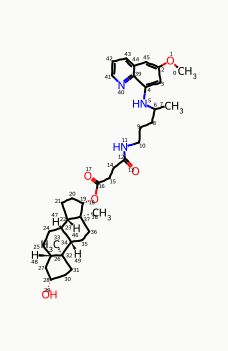 COc1cc(NC(C)CCCNC(=O)CCC(=O)O[C@H]2CC[C@H]3[C@@H]4CC[C@H]5C[C@@H](O)CC[C@]5(C)[C@H]4CC[C@]23C)c2ncccc2c1